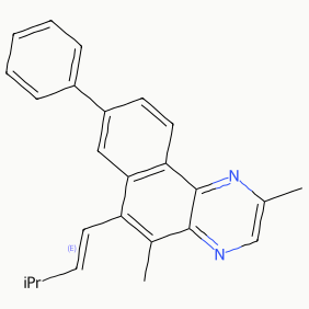 Cc1cnc2c(C)c(/C=C/C(C)C)c3cc(-c4ccccc4)ccc3c2n1